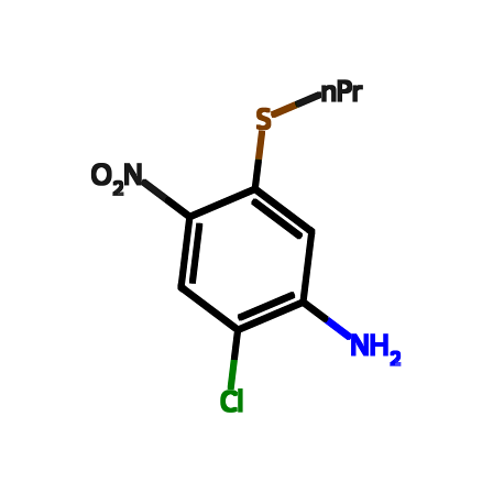 CCCSc1cc(N)c(Cl)cc1[N+](=O)[O-]